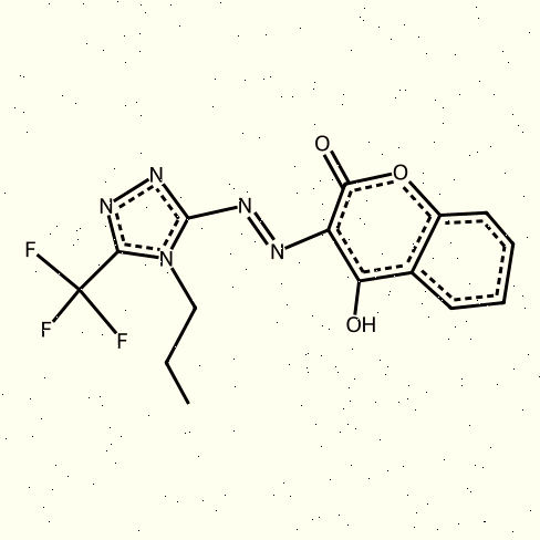 CCCn1c(N=Nc2c(O)c3ccccc3oc2=O)nnc1C(F)(F)F